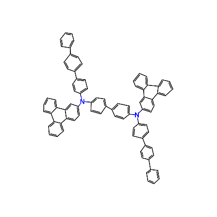 c1ccc(-c2ccc(-c3ccc(N(c4ccc(-c5ccc(N(c6ccc(-c7ccc(-c8ccccc8)cc7)cc6)c6ccc7c8ccccc8c8ccccc8c7c6)cc5)cc4)c4ccc5c6ccccc6c6ccccc6c5c4)cc3)cc2)cc1